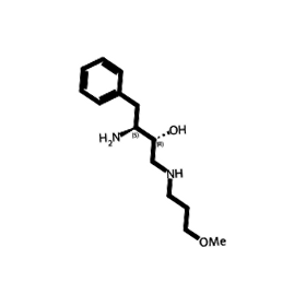 COCCCNC[C@@H](O)[C@@H](N)Cc1ccccc1